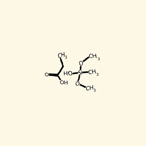 CCC(=O)O.CO[Si](C)(O)OC